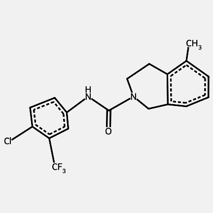 Cc1cccc2c1CCN(C(=O)Nc1ccc(Cl)c(C(F)(F)F)c1)C2